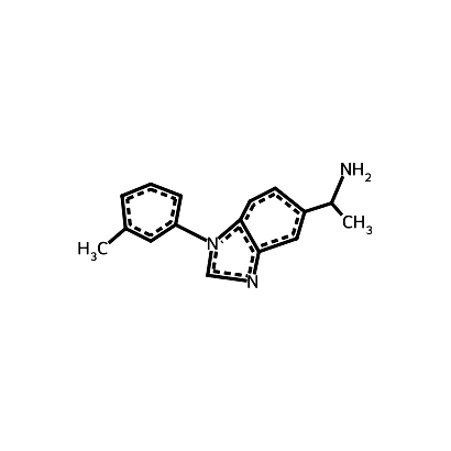 Cc1cccc(-n2cnc3cc(C(C)N)ccc32)c1